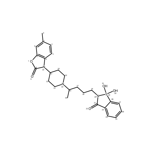 Cc1ccc2c(c1)oc(=O)n2C1CCN(C(C)CCCN2C(=O)c3ccccc3S2(O)O)CC1